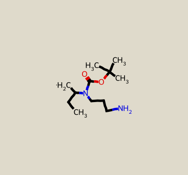 [CH2]C(CC)N(CCCN)C(=O)OC(C)(C)C